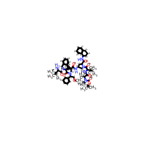 COCC(c1ccccc1)N(CC1(C(=O)N[C@H]2CC(C(=O)NC3CCCc4ccccc43)N(C(=O)C(NC(=O)[C@H](C)N(C)C(=O)OC(C)(C)C)C(C)(C)C)C2)CC1)C(=O)C1Cc2ccccc2CN1C(=O)C(N)C(C)(C)C